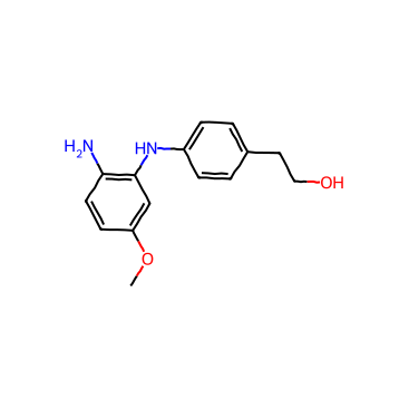 COc1ccc(N)c(Nc2ccc(CCO)cc2)c1